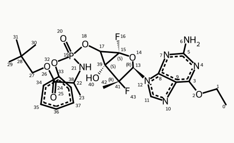 CCOc1nc(N)nc2c1ncn2[C@@H]1O[C@]2(F)C(OP(=O)(NC(C)C(=O)OCC(C)(C)C)Oc3ccccc3)[C@]2(O)[C@@]1(C)F